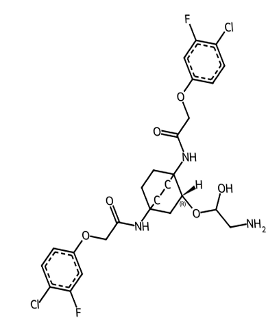 NCC(O)O[C@@H]1CC2(NC(=O)COc3ccc(Cl)c(F)c3)CCC1(NC(=O)COc1ccc(Cl)c(F)c1)CC2